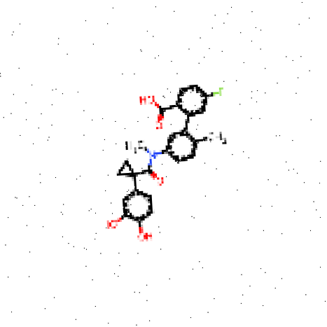 Cc1ccc(N(C)C(=O)C2(c3ccc(O)c(O)c3)CC2)cc1-c1cc(F)ccc1C(=O)O